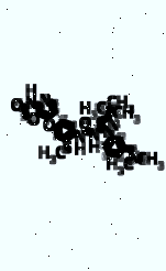 CSc1cc(Oc2ccnc3c2OCC(=O)N3)ccc1NC(=O)Nc1cc(C(C)(C)C)nn1-c1cccc(CN(C)C)c1